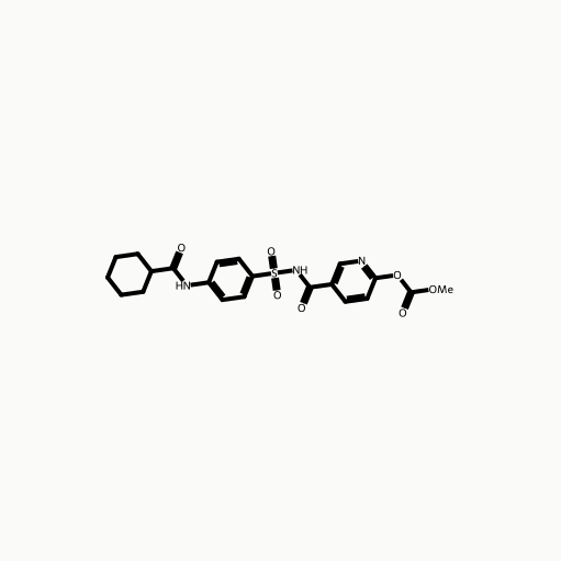 COC(=O)Oc1ccc(C(=O)NS(=O)(=O)c2ccc(NC(=O)C3CCCCC3)cc2)cn1